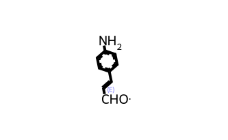 Nc1ccc(/C=C/[C]=O)cc1